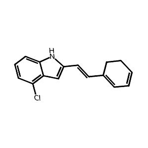 Clc1cccc2[nH]c(/C=C/C3=CC=CCC3)cc12